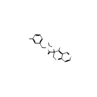 CCSC1(C(=O)NCc2cccc(F)c2)CN=c2ccncc2=C1C